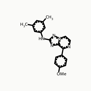 COc1ccc(-c2nccn3nc(Nc4cc(C)cc(C)c4)nc23)cc1